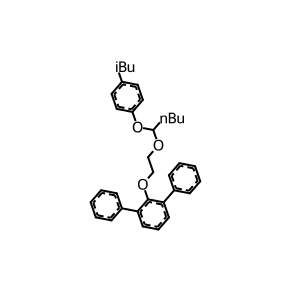 CCCCC(OCCOc1c(-c2ccccc2)cccc1-c1ccccc1)Oc1ccc(C(C)CC)cc1